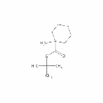 CC(C)(C)OC(=O)C1(N)CCCCC1